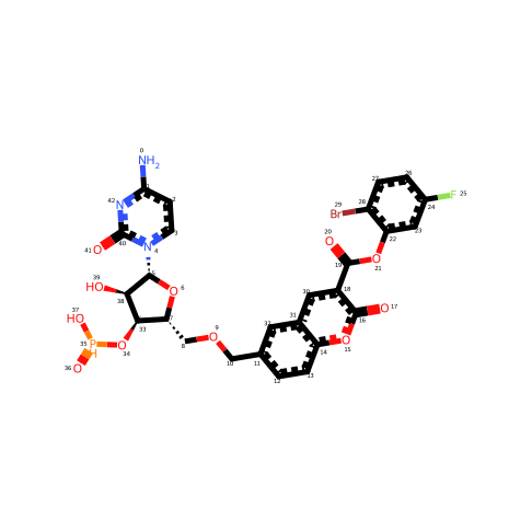 Nc1ccn([C@@H]2O[C@H](COCc3ccc4oc(=O)c(C(=O)Oc5cc(F)ccc5Br)cc4c3)[C@@H](O[PH](=O)O)[C@H]2O)c(=O)n1